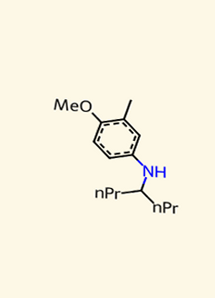 CCCC(CCC)Nc1ccc(OC)c(C)c1